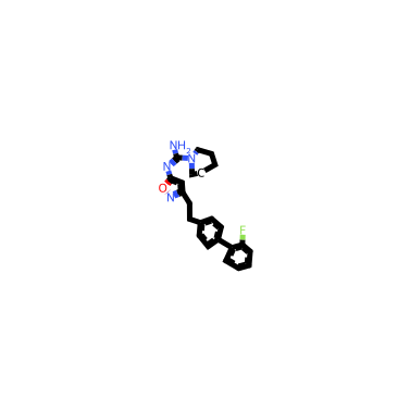 NC(=Nc1cc(CCc2ccc(-c3ccccc3F)cc2)no1)N1CCCCC1